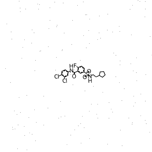 O=C(Nc1ccc(Cl)c(Cl)c1)c1cc(S(=O)(=O)NCCC2CCCC2)ccc1F